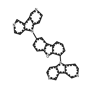 c1cc(-n2c3ccncc3c3cnccc32)c2oc3ccc(-n4c5ccncc5c5cnccc54)cc3c2c1